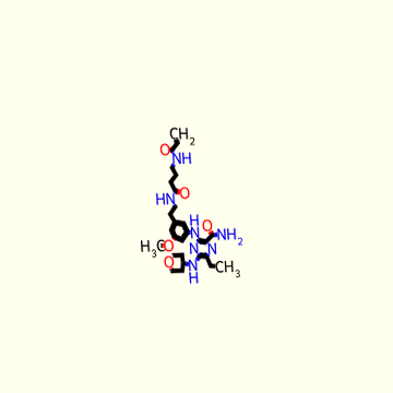 C=CC(=O)NCCCC(=O)NCCc1cc(Nc2nc(NC3CCOCC3)c(CC)nc2C(N)=O)cc(OC)c1